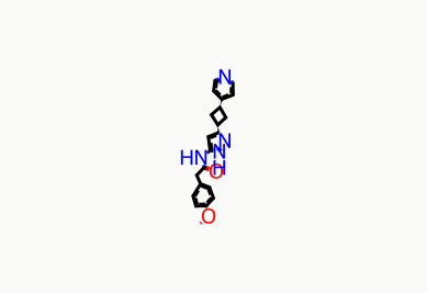 COc1ccc(CC(=O)Nc2cc([C@H]3C[C@@H](c4ccncc4)C3)n[nH]2)cc1